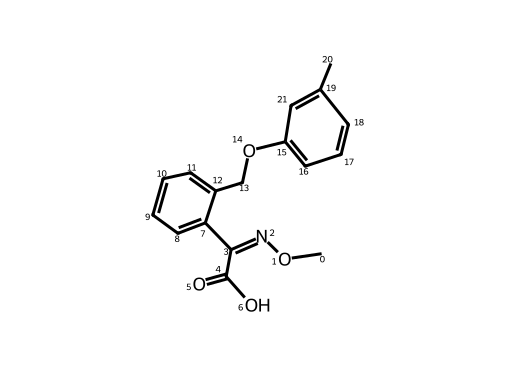 CON=C(C(=O)O)c1ccccc1COc1cccc(C)c1